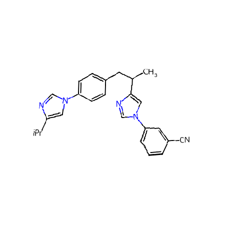 CC(C)c1cn(-c2ccc(CC(C)c3cn(-c4cccc(C#N)c4)cn3)cc2)cn1